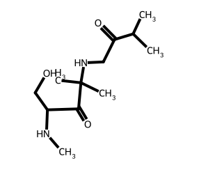 CNC(CO)C(=O)C(C)(C)NCC(=O)C(C)C